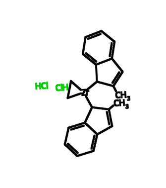 CC1=Cc2ccccc2[CH]1[Zr]1([CH]2C(C)=Cc3ccccc32)[CH2][CH2]1.Cl.Cl